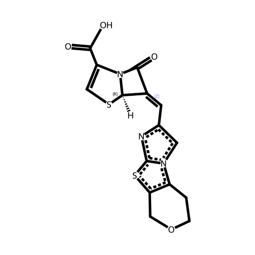 O=C(O)C1=CS[C@@H]2/C(=C\c3cn4c5c(sc4n3)COCC5)C(=O)N12